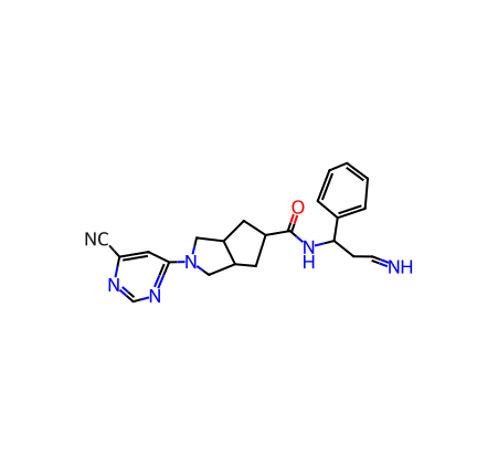 N#Cc1cc(N2CC3CC(C(=O)NC(CC=N)c4ccccc4)CC3C2)ncn1